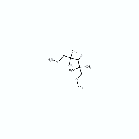 CC(C)(CON)C(O)C(C)(C)CON